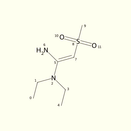 CCN(CC)/C(N)=C/S(C)(=O)=O